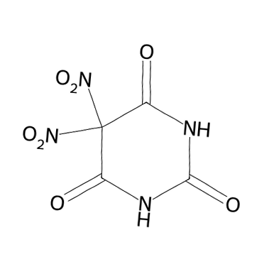 O=C1NC(=O)C([N+](=O)[O-])([N+](=O)[O-])C(=O)N1